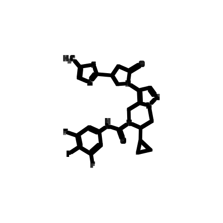 Cc1cnc(C2CC(=O)N(c3cnn4c3CN(C(=O)Nc3cc(F)c(F)c(F)c3)C(C3CC3)C4)C2)s1